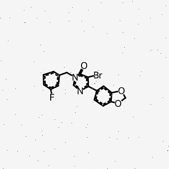 O=c1c(Br)c(-c2ccc3c(c2)OCO3)ncn1Cc1cccc(F)c1